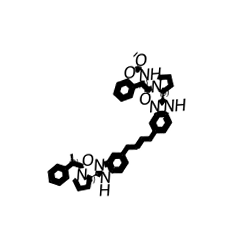 COC(=O)N[C@@H](C(=O)N1CCC[C@H]1c1nc2cc(CC=CCc3ccc4[nH]c([C@@H]5CCCN5C(=O)[C@H](C)c5ccccc5)nc4c3)ccc2[nH]1)c1ccccc1